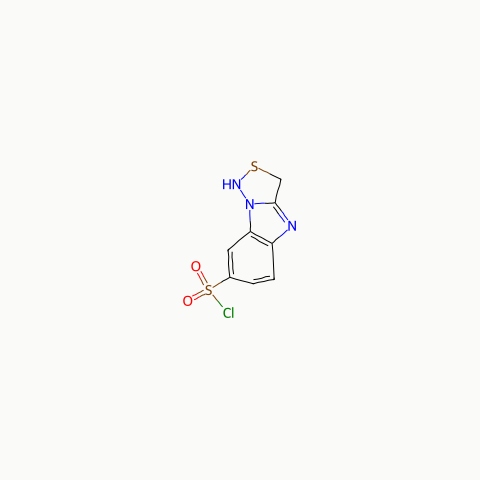 O=S(=O)(Cl)c1ccc2nc3n(c2c1)NSC3